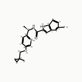 C[C@@H](NC(=O)c1cc2cc(F)ccc2[nH]1)c1ccc(OCC2(C)CC2)cn1